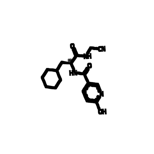 N#CCNC(=O)[C@H](CC1CCCCC1)NC(=O)c1ccc(O)nc1